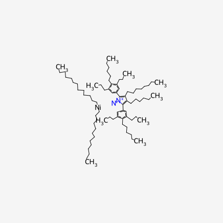 CCCCCCCCC1=C(c2cc(CCC)c(CCCCCC)c(CCC)c2)[N+](=[N-])C(c2cc(CCC)c(CCCCCC)c(CCC)c2)=C1CCCCCC.CCCCCCCCCCCC[CH2][Ni][CH2]CCCCCCCCCCCC